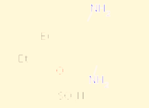 CCC(N)C(C)N.CCOS(=O)(=O)O